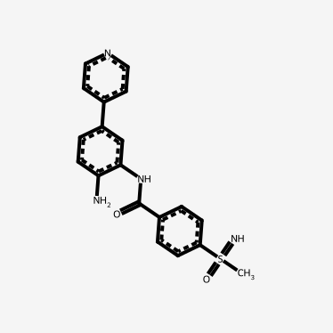 CS(=N)(=O)c1ccc(C(=O)Nc2cc(-c3ccncc3)ccc2N)cc1